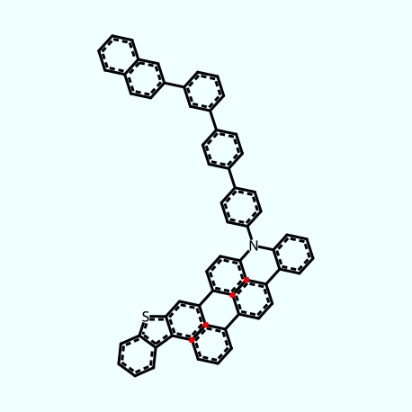 c1ccc(-c2ccc(-c3ccccc3N(c3ccc(-c4ccc(-c5cccc(-c6ccc7ccccc7c6)c5)cc4)cc3)c3ccc(-c4ccc5c(c4)sc4ccccc45)cc3)cc2)cc1